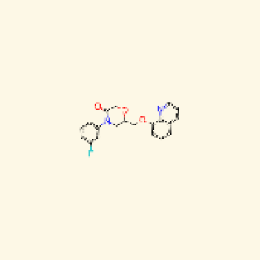 O=C1COC(COc2cccc3cccnc23)CN1c1cccc(F)c1